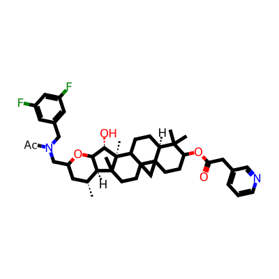 CC(=O)N(Cc1cc(F)cc(F)c1)CC1C[C@@H](C)[C@H]2C(O1)[C@H](O)[C@@]1(C)C3CC[C@H]4C(C)(C)C(OC(=O)Cc5cccnc5)CCC45CC35CCC21C